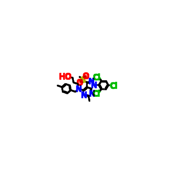 Cc1ccc(CN(CCCO)c2nc(C)nc3c2c(S(C)(=O)=O)nn3-c2c(Cl)cc(Cl)cc2Cl)cc1